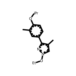 CCOn1cc(C)c(-c2ccc(OC(C)C)c(C)c2)n1